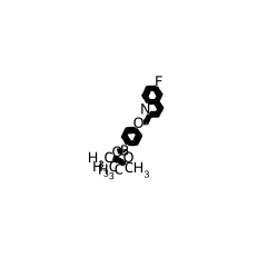 CC1(C)OB(c2ccc(OCc3ccc4cc(F)ccc4n3)cc2)OC1(C)C